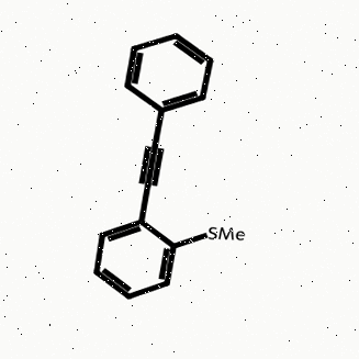 CSc1ccccc1C#Cc1ccccc1